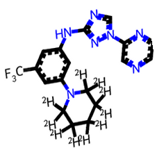 [2H]C1([2H])N(c2cc(Nc3ncn(-c4cnccn4)n3)cc(C(F)(F)F)c2)C([2H])([2H])C([2H])([2H])C([2H])([2H])C1([2H])[2H]